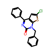 O=c1nc(-c2ccccc2)c2cc(Cl)sc2n1Cc1ccccc1